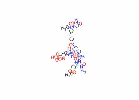 Cn1c(=O)n(C2CCC(=O)NC2=O)c2ccc(C[C@H]3CC[C@@H](CC(=O)N4CCC5CC[C@@H](C(=O)N[C@@H](CCC(N)=O)C(=O)NCc6ccc(S(C)(=O)=O)cc6F)N5C(=O)[C@@H](NC(=O)c5cc6cc(C(=O)P(=O)(O)O)ccc6[nH]5)C4)CC3)cc21